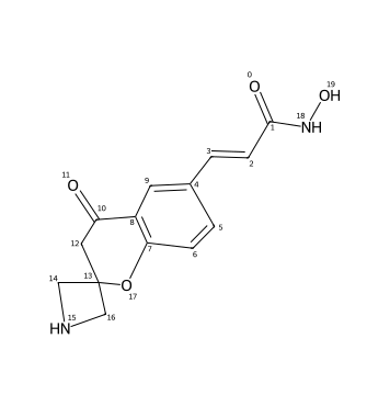 O=C(C=Cc1ccc2c(c1)C(=O)CC1(CNC1)O2)NO